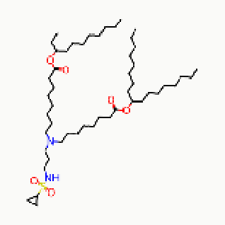 CCCCCCCCC(CC)OC(=O)CCCCCCCN(CCCCCCCC(=O)OC(CCCCCCCC)CCCCCCCC)CCCNS(=O)(=O)C1CC1